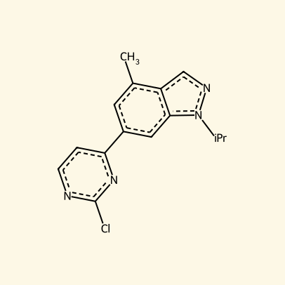 Cc1cc(-c2ccnc(Cl)n2)cc2c1cnn2C(C)C